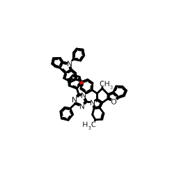 CC1C=Cc2c3c(n(-c4nc(-c5ccccc5)nc(-c5ccccc5)n4)c2C1)C(c1ccc(-c2ccc4c5ccccc5n(-c5ccccc5)c4c2)cc1)C(C)c1c-3oc2ccccc12